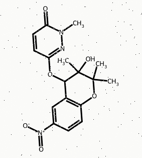 Cn1nc(OC2c3cc([N+](=O)[O-])ccc3OC(C)(C)C2(C)O)ccc1=O